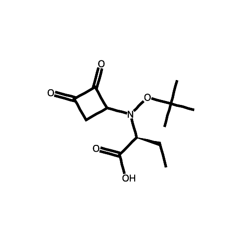 CC[C@@H](C(=O)O)N(OC(C)(C)C)C1CC(=O)C1=O